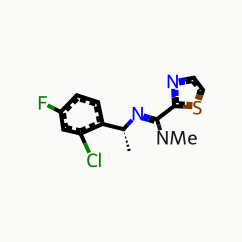 CN/C(=N\[C@H](C)c1ccc(F)cc1Cl)c1nccs1